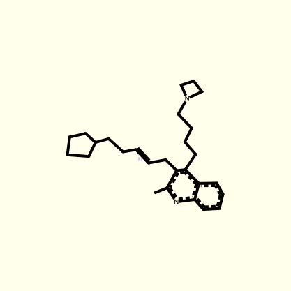 Cc1nc2ccccc2c(CCCCN2CCC2)c1C/C=C/CCC1CCCC1